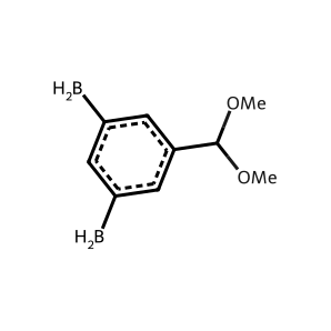 Bc1cc(B)cc(C(OC)OC)c1